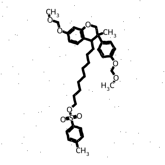 COCOc1ccc(C2(C)COc3cc(OCOC)ccc3C2CCCCCCCCCOS(=O)(=O)c2ccc(C)cc2)cc1